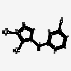 Cc1c(Nc2nccc(Cl)n2)cnn1C